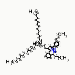 CC=CCCc1ccccc1C1=C(CCCC)C=C(c2cccc(CCCC)c2)[N+]1=[N-].CCCCCCCCCCCCC[CH2][Pd][CH2]CCCCCCCCCCCCC